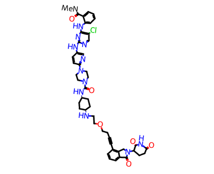 CNC(=O)c1ccccc1Nc1nc(Nc2ccc(N3CCN(C(=O)N[C@H]4CC[C@@H](NCCOCCC#Cc5cccc6c5CN(C5CCC(=O)NC5=O)C6=O)CC4)CC3)nc2)ncc1Cl